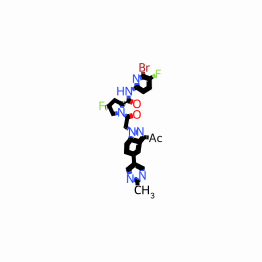 CC(=O)c1nn(CC(=O)N2C[C@H](F)C[C@H]2C(=O)Nc2ccc(F)c(Br)n2)c2ccc(-c3cnc(C)nc3)cc12